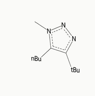 CCCCc1c(C(C)(C)C)nnn1C